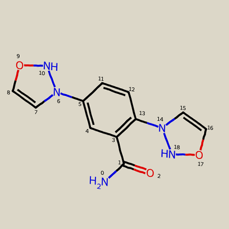 NC(=O)c1cc(N2C=CON2)ccc1N1C=CON1